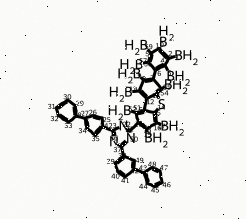 Bc1c(B)c(B)c(-c2c(B)c(B)c3c(sc4c(B)c(B)c(-c5nc(-c6ccc(-c7ccccc7)cc6)nc(-c6cccc(-c7ccccc7)c6)n5)c(B)c43)c2B)c(B)c1B